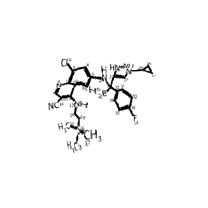 BC(Nc1cc(Cl)c2ncc(C#N)c(NCCS(C)(C)C)c2c1)(C1=CN(C2CC2)NN1)c1ccc(F)cc1